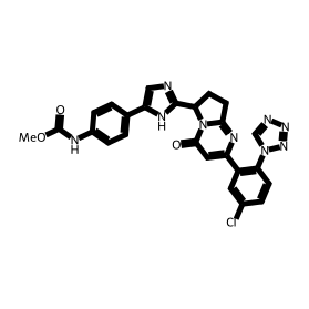 COC(=O)Nc1ccc(-c2cnc(C3CCc4nc(-c5cc(Cl)ccc5-n5cnnn5)cc(=O)n43)[nH]2)cc1